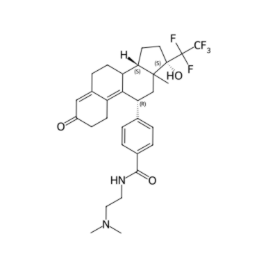 CN(C)CCNC(=O)c1ccc([C@H]2CC3(C)[C@@H](CC[C@@]3(O)C(F)(F)C(F)(F)F)C3CCC4=CC(=O)CCC4=C32)cc1